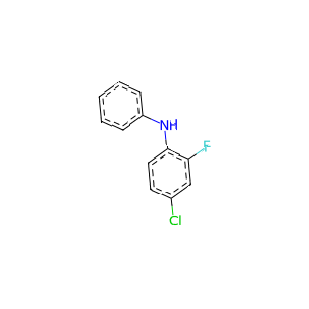 Fc1cc(Cl)ccc1Nc1ccccc1